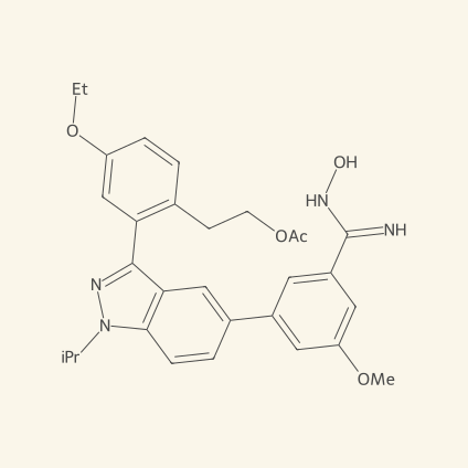 CCOc1ccc(CCOC(C)=O)c(-c2nn(C(C)C)c3ccc(-c4cc(OC)cc(C(=N)NO)c4)cc23)c1